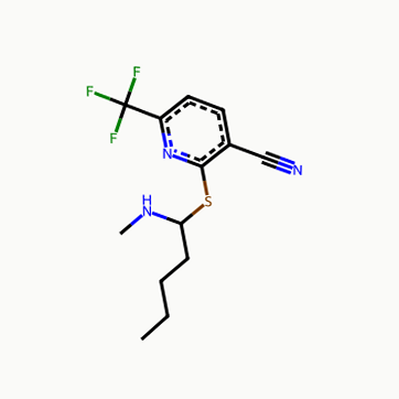 CCCCC(NC)Sc1nc(C(F)(F)F)ccc1C#N